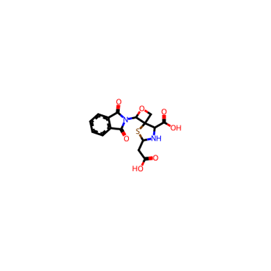 O=C(O)CC1NC(C(=O)O)C2(COC2N2C(=O)c3ccccc3C2=O)S1